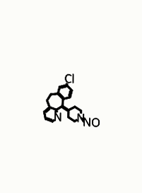 O=NN1CCC(=C2c3ccc(Cl)cc3CCc3cccnc32)CC1